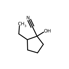 CCC1CCCC1(O)C#N